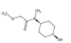 COCC(=O)N(C)[C@H]1CC[C@@H](O)CC1